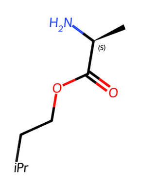 CC(C)CCOC(=O)[C@H](C)N